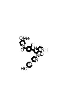 COC1CCN(C(=O)c2ccc(-c3cc(Nc4ccc(N5CCC(O)CC5)cn4)c4c(=O)[nH]ccc4n3)c(F)c2)CC1